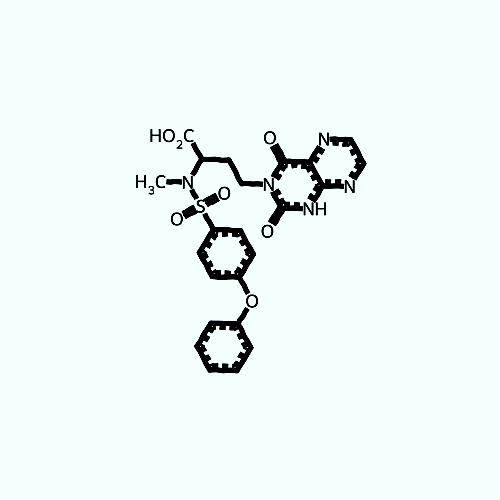 CN(C(CCn1c(=O)[nH]c2nccnc2c1=O)C(=O)O)S(=O)(=O)c1ccc(Oc2ccccc2)cc1